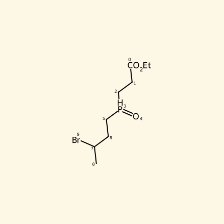 CCOC(=O)CC[PH](=O)CCC(C)Br